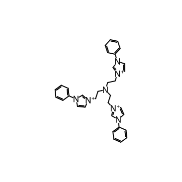 c1ccc(-n2cc[n+](CCN(CC[n+]3ccn(-c4ccccc4)c3)CC[n+]3ccn(-c4ccccc4)c3)c2)cc1